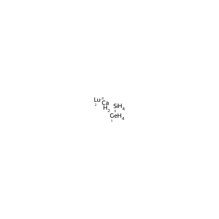 [CaH2].[GeH4].[Lu].[SiH4]